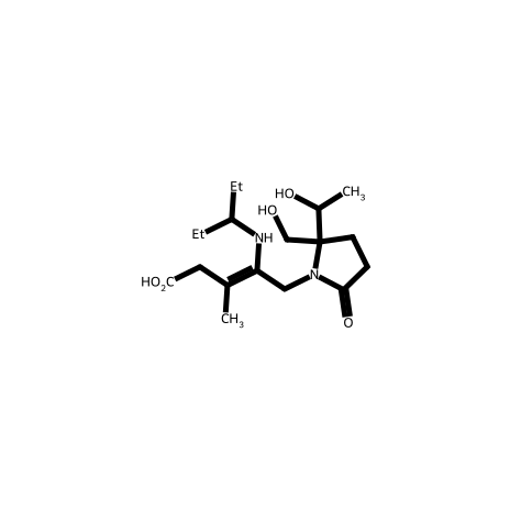 CCC(CC)N/C(CN1C(=O)CCC1(CO)C(C)O)=C(/C)CC(=O)O